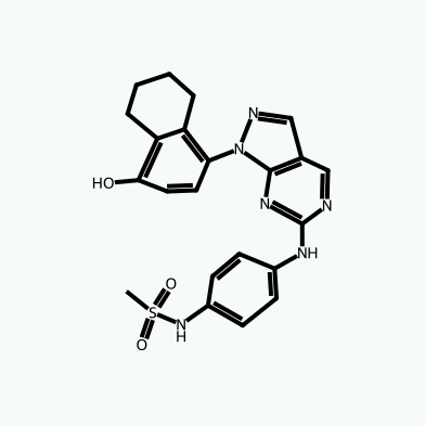 CS(=O)(=O)Nc1ccc(Nc2ncc3cnn(-c4ccc(O)c5c4CCCC5)c3n2)cc1